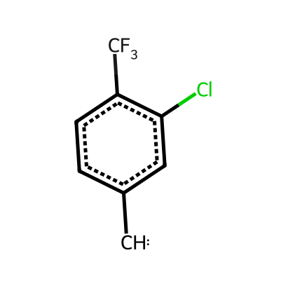 [CH]c1ccc(C(F)(F)F)c(Cl)c1